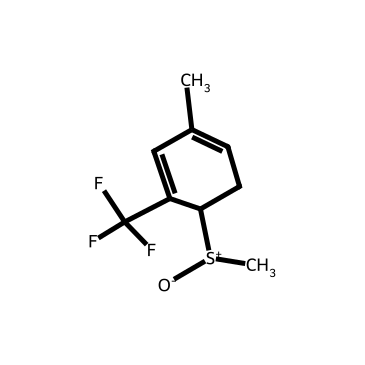 CC1=CCC([S+](C)[O-])C(C(F)(F)F)=C1